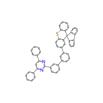 c1ccc(-c2cc(-c3ccccc3)nc(-c3cccc(-c4cccc(-c5ccc6c(c5)C5(c7ccccc7S6)c6ccccc6-c6ccccc65)c4)c3)n2)cc1